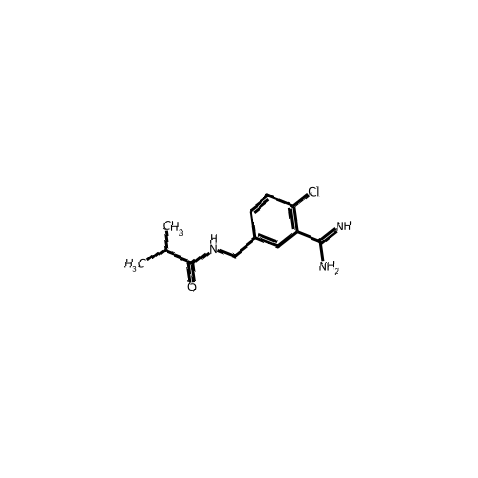 CC(C)C(=O)NCc1ccc(Cl)c(C(=N)N)c1